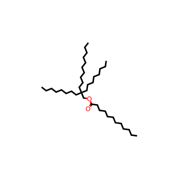 CCCCCCCCCCCC(=O)OCC(CCCCCCCC)(CCCCCCCC)CCCCCCCCCC